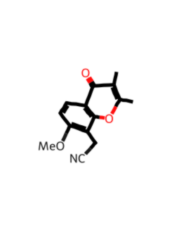 COc1ccc2c(=O)c(C)c(C)oc2c1CC#N